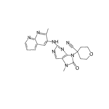 Cc1nc2ncccc2cc1Nc1ncc2c(n1)n(C1(C#N)CCOCC1)c(=O)n2C